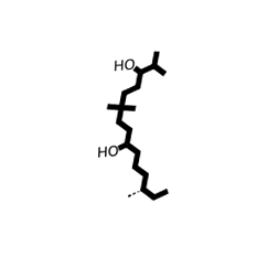 CC[C@H](C)CCCC(O)CCC(C)(C)CCC(O)C(C)C